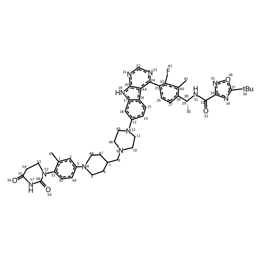 Cc1cc(N2CCC(CN3CCN(c4ccc5c(c4)[nH]c4ncnc(-c6ccc([C@@H](C)NC(=O)c7noc(C(C)(C)C)n7)c(C)c6F)c45)CC3)CC2)ccc1N1CCC(=O)NC1=O